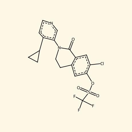 O=C1c2cc(Cl)c(OS(=O)(=O)C(F)(F)F)cc2CCN1c1cnccc1C1CC1